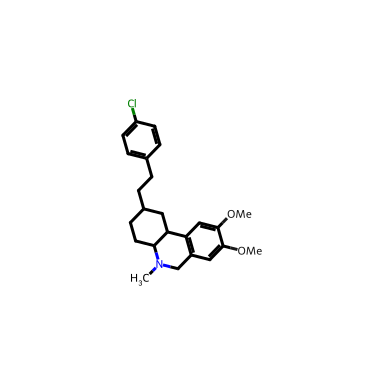 COc1cc2c(cc1OC)C1CC(CCc3ccc(Cl)cc3)CCC1N(C)C2